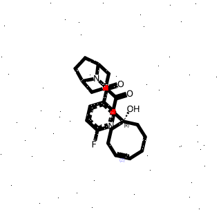 O=C(C[C@]1(O)CC/C=C\CCC1)N1CC2CCC(C1)N2C(=O)c1ccc(F)nc1